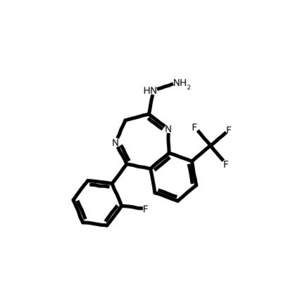 NNC1=Nc2c(cccc2C(F)(F)F)C(c2ccccc2F)=NC1